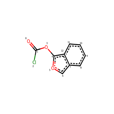 O=C(Cl)Oc1occ2ccccc12